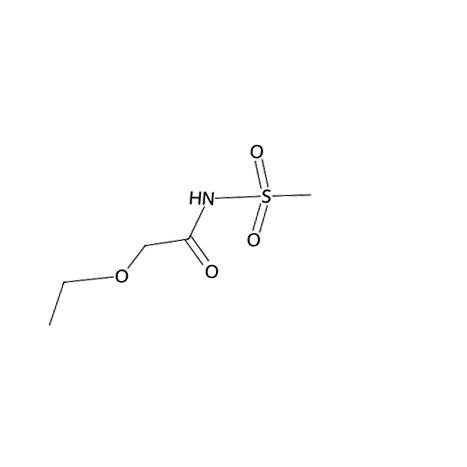 CCOCC(=O)NS(C)(=O)=O